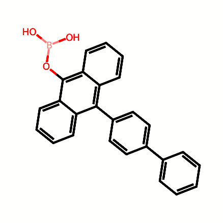 OB(O)Oc1c2ccccc2c(-c2ccc(-c3ccccc3)cc2)c2ccccc12